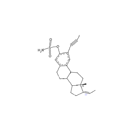 CC#Cc1cc2c(cc1OS(N)(=O)=O)CCC1C2CC[C@]2(C)/C(=C\C)CCC12